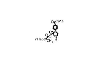 CCCCCCCC(C)C(=O)OC1OCC12CNCCN2c1ccc(C(=O)OC)cc1